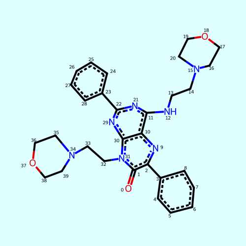 O=c1c(-c2ccccc2)nc2c(NCCN3CCOCC3)nc(-c3ccccc3)nc2n1CCN1CCOCC1